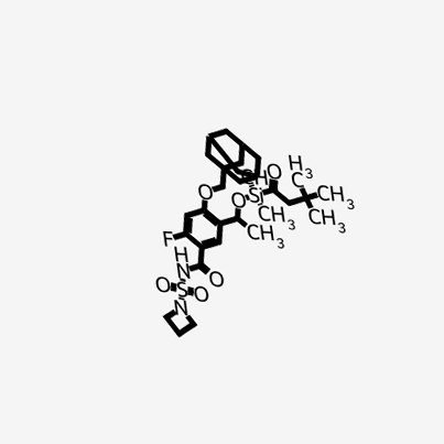 CC(O[Si](C)(C)C(=O)CC(C)(C)C)c1cc(C(=O)NS(=O)(=O)N2CCC2)c(F)cc1OCC12CC3CC(CC(C3)C1)C2